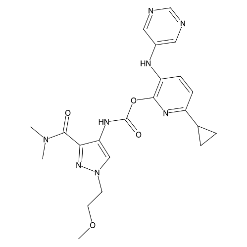 COCCn1cc(NC(=O)Oc2nc(C3CC3)ccc2Nc2cncnc2)c(C(=O)N(C)C)n1